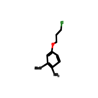 COc1cc(OCCCCl)ccc1[N+](=O)[O-]